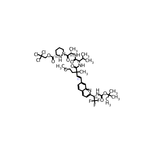 COCCC(C)(/C=C/c1ccc2ccc([C@H](NC(=O)OC(C)(C)C)C(F)(F)F)nc2c1)C(=O)N[C@H](C(=O)N[C@@H](C)C(=O)N1CCC[C@@H](C(=O)OCC(Cl)(Cl)Cl)N1)C(C)C